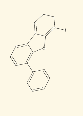 IC1=c2sc3c(-c4ccccc4)cccc3c2=CCC1